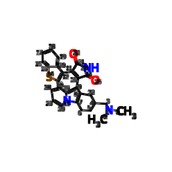 CN(C)CC1CCc2c(c(C3=C(c4csc5ccccc45)C(=O)NC3=O)c3ccccn23)C1